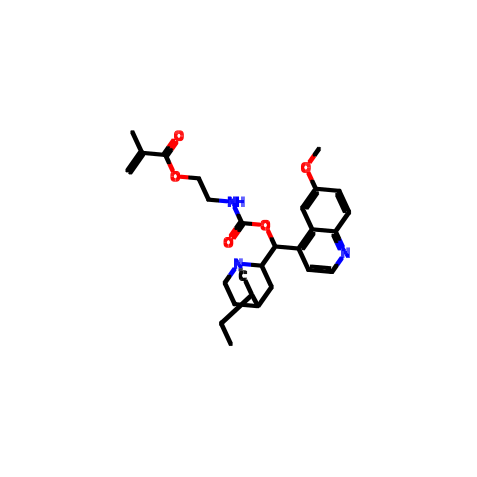 C=C(C)C(=O)OCCNC(=O)OC(c1ccnc2ccc(OC)cc12)C1CC2CCN1CC2CC